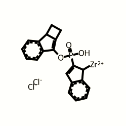 O=P(O)(OC1=C2CCC2c2ccccc21)C1=Cc2ccccc2[CH]1[Zr+2].[Cl-].[Cl-]